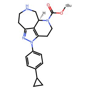 CC(C)(C)OC(=O)N1CCc2c3c(nn2-c2ccc(C4CC4)cc2)CCNC[C@H]31